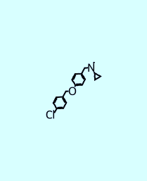 CN(Cc1ccc(OCc2ccc(Cl)cc2)cc1)C1CC1